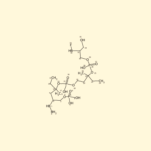 BBC(COP(=O)(O)O)CC(C)(CC)OP(=O)(O)OCCC(C)(CC)OP(=O)(O)OCC(BF)CO